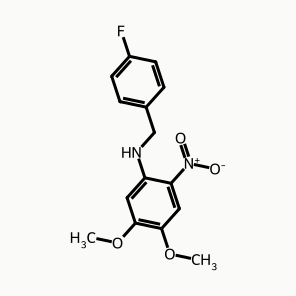 COc1cc(NCc2ccc(F)cc2)c([N+](=O)[O-])cc1OC